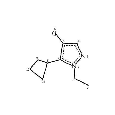 CCn1n[c]c(Cl)c1C1CCC1